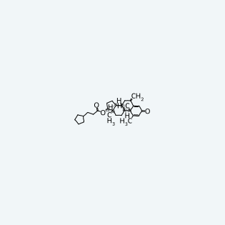 C=C1C[C@@H]2[C@H](CC[C@]3(C)[C@@H](OC(=O)CCC4CCCC4)CC[C@@H]23)[C@@]2(C)C(C)=CC(=O)C=C12